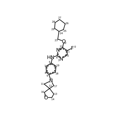 Fc1cnc(Nc2ccc(N3CC4(CCOC4)C3)cc2)nc1OCC1CCCCC1